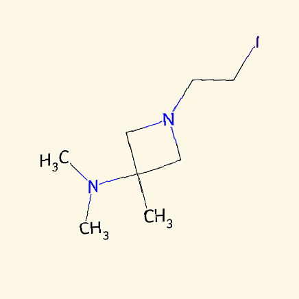 CN(C)C1(C)CN(CCI)C1